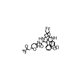 CN(C)C(=O)C[C@@H]1CC[C@@H](NC(=O)[C@@H]2NC3(CC(CF)(CF)C3)[C@@]3(C(=O)Nc4cc(Cl)ccc43)[C@H]2c2cccc(Cl)c2F)CO1